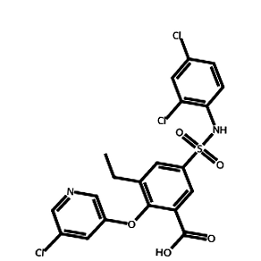 CCc1cc(S(=O)(=O)Nc2ccc(Cl)cc2Cl)cc(C(=O)O)c1Oc1cncc(Cl)c1